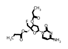 CCC(=O)OC[C@@]1(CF)O[C@@H](n2ccc(N)nc2=O)C[C@@H]1OC(=O)CC